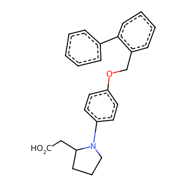 O=C(O)CC1CCCN1c1ccc(OCc2ccccc2-c2ccccc2)cc1